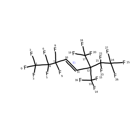 FC(F)(F)C(F)(F)C(F)(F)/C=C/C(C(F)(F)F)(C(F)(F)F)C(F)(F)C(F)(F)F